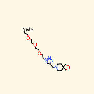 CNCCOCCOCCOCCn1cc(CN2CCC3(CC2)COC3)nn1